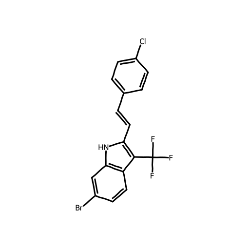 FC(F)(F)c1c(/C=C/c2ccc(Cl)cc2)[nH]c2cc(Br)ccc12